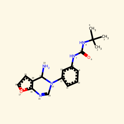 CC(C)(C)NC(=O)Nc1cccc(N2C=Nc3occc3C2N)c1